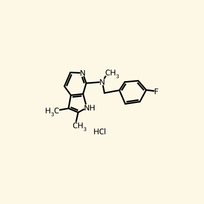 Cc1[nH]c2c(N(C)Cc3ccc(F)cc3)nccc2c1C.Cl